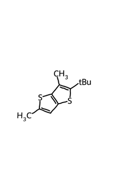 Cc1cc2sc(C(C)(C)C)c(C)c2s1